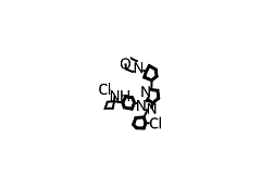 ClNC1(c2ccc(-n3c(-c4ccccc4Cl)nc4ccc(-c5cccc(N6CCOCC6)c5)nc43)cc2)CCC1